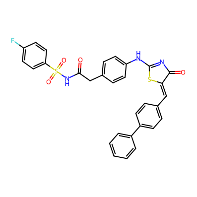 O=C(Cc1ccc(NC2=NC(=O)C(=Cc3ccc(-c4ccccc4)cc3)S2)cc1)NS(=O)(=O)c1ccc(F)cc1